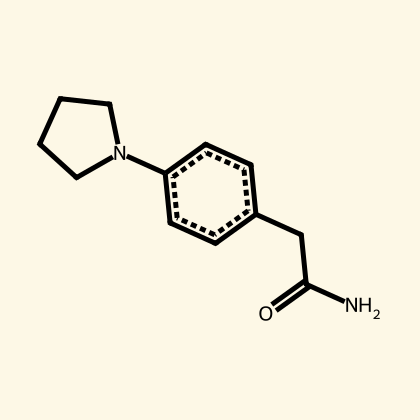 NC(=O)Cc1ccc(N2CCCC2)cc1